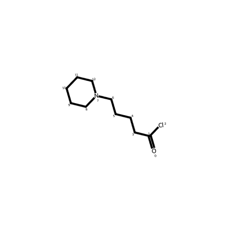 O=C(Cl)CCCCN1CCCCC1